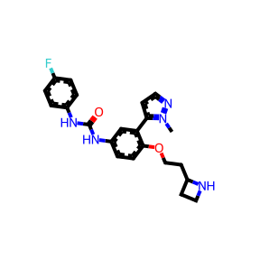 Cn1nccc1-c1cc(NC(=O)Nc2ccc(F)cc2)ccc1OCCC1CCN1